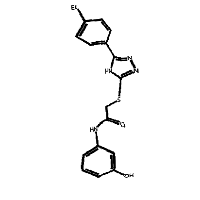 CCc1ccc(-c2nnc(SCC(=O)Nc3cccc(O)c3)[nH]2)cc1